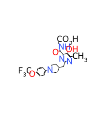 Cc1nc(CC2CCN(c3ccc(OC(F)(F)F)cc3)CC2)nc(C(=O)NCC(=O)O)c1O